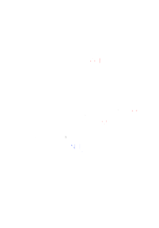 CC(C)C[C@@H](N)c1cc(O)cc(=O)o1